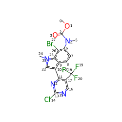 COC(=O)N(C)c1ccc2c(-c3nc(Cl)ncc3C(F)(F)F)cn(C)c2c1Br